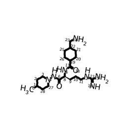 CC1CCN(NC(=O)[C@H](CCCNC(=N)N)NC(=O)C2CCC(CN)CC2)CC1